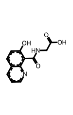 O=C(O)CNC(=O)c1c(O)ccc2cccnc12